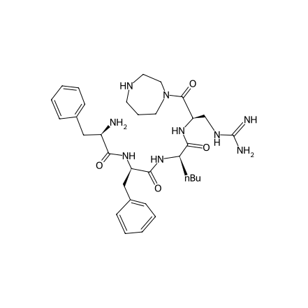 CCCC[C@@H](NC(=O)[C@@H](Cc1ccccc1)NC(=O)[C@H](N)Cc1ccccc1)C(=O)N[C@H](CNC(=N)N)C(=O)N1CCCNCC1